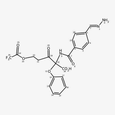 NN=Cc1ccc(C(=O)NC(Oc2ccccc2)(C(=O)O)C(=O)CCOC(=O)C(F)(F)F)cc1